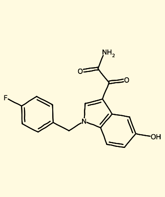 NC(=O)C(=O)c1cn(Cc2ccc(F)cc2)c2ccc(O)cc12